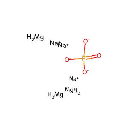 O=P([O-])([O-])[O-].[MgH2].[MgH2].[MgH2].[Na+].[Na+].[Na+]